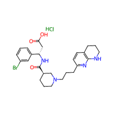 Cl.O=C(O)C[C@H](NC(=O)[C@@H]1CCCN(CCCc2ccc3c(n2)NCCC3)C1)c1cccc(Br)c1